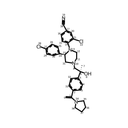 C=C(c1ccc([C@](C)(O)CN2CCN(c3ccc(C#N)cc3Cl)[C@H](c3ccc(Cl)cc3)C2)cc1)N1CCCC1